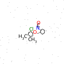 Cc1cc(Cl)c(OCc2ccccc2N=C=O)cc1C